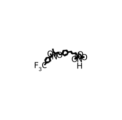 Cc1oc(-c2ccc(C(F)(F)F)cc2)nc1COc1ccc(/C=C/Cn2oc(=O)[nH]c2=O)cc1